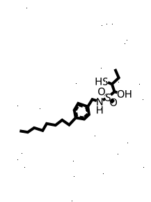 CCCCCCCCc1ccc(CNS(=O)(=O)C(O)C(S)CC)cc1